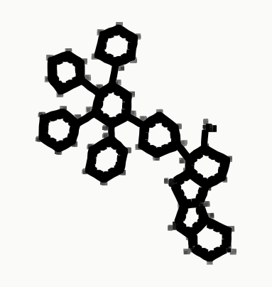 CC(C)(C)c1ccc2c(oc3nc4ncncc4n32)c1-c1ccc(-c2cc(-c3ccccc3)c(-c3ccccc3)c(-c3ccccc3)c2-c2ccccc2)cc1